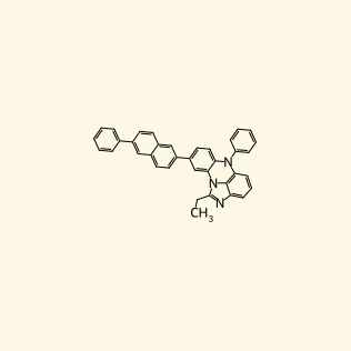 CCc1nc2cccc3c2n1-c1cc(-c2ccc4cc(-c5ccccc5)ccc4c2)ccc1N3c1ccccc1